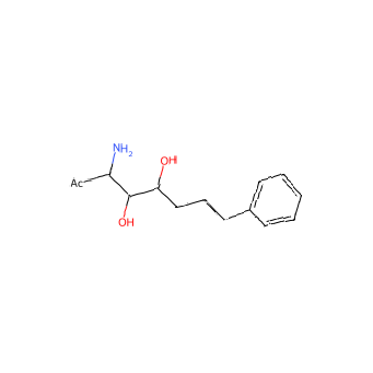 CC(=O)C(N)C(O)C(O)CCCc1ccccc1